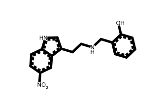 O=[N+]([O-])c1ccc2[nH]cc(CCNCc3ccccc3O)c2c1